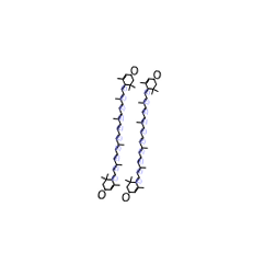 CC1=CC(=O)CC(C)(C)\C1=C/C=C(C)/C=C/C=C(C)/C=C/C=C/C(C)=C/C=C/C(C)=C/C=C1/C(C)=CC(=O)CC1(C)C.CC1=CC(=O)CC(C)(C)\C1=C/C=C(C)/C=C/C=C(C)/C=C/C=C/C(C)=C/C=C/C(C)=C/C=C1/C(C)=CC(=O)CC1(C)C